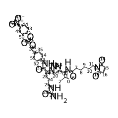 CC(C)[C@H](NC(=O)CCCCCN1C(=O)C=CC1=O)c1cn([C@@H](CCCNC(N)=O)C(=O)Nc2ccc(COC(=O)Oc3ccc([N+](=O)[O-])cc3)cc2)nn1